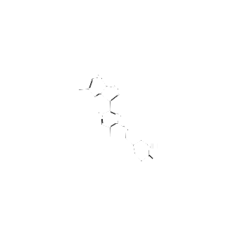 O=C1CCC(CNc2nc(C3=CNC4NC=C(Cl)C=C34)ncc2F)CN1